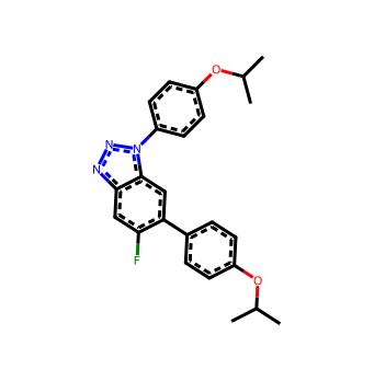 CC(C)Oc1ccc(-c2cc3c(cc2F)nnn3-c2ccc(OC(C)C)cc2)cc1